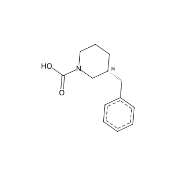 O=C(O)N1CCC[C@H](Cc2ccccc2)C1